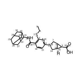 CCSc1nc(N2CC3C(C(=O)O)[C@H]3C2)ccc1C(=O)NC1C2CC3CC(C2)CC1C3